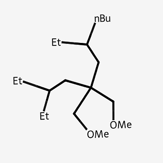 CCCCC(CC)CC(COC)(COC)CC(CC)CC